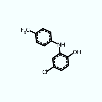 Oc1ccc(Cl)cc1Nc1ccc(C(F)(F)F)cc1